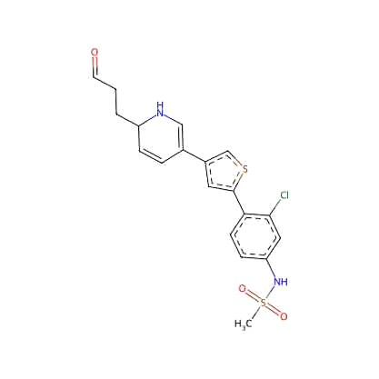 CS(=O)(=O)Nc1ccc(-c2cc(C3=CNC(CCC=O)C=C3)cs2)c(Cl)c1